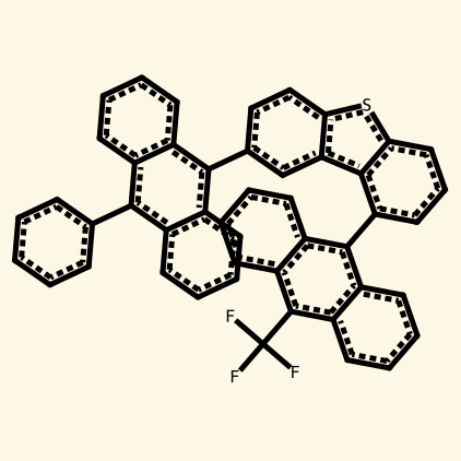 FC(F)(F)c1c2ccccc2c(-c2cccc3sc4ccc(-c5c6ccccc6c(-c6ccccc6)c6ccccc56)cc4c23)c2ccccc12